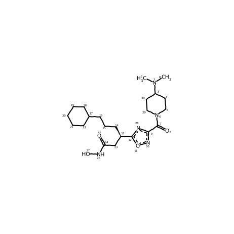 CN(C)C1CCN(C(=O)c2noc([C@H](CCCC3CCCCC3)CC(=O)NO)n2)CC1